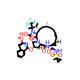 CC[C@@H]1C[C@H](C)CC/C=C\[C@@H]2C[C@@]2(C(=O)NS(=O)(=O)C2(C)CC2)NC(=O)[C@@H]2C[C@@H](Oc3nc(OC)cc4ccccc34)CN2C(=O)[C@H]1N(C(=O)O)C(C)(C)C(F)(F)F